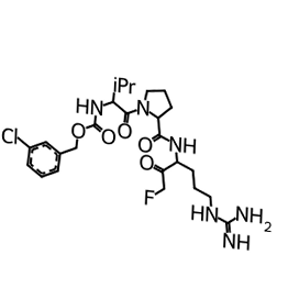 CC(C)C(NC(=O)OCc1cccc(Cl)c1)C(=O)N1CCCC1C(=O)NC(CCCNC(=N)N)C(=O)CF